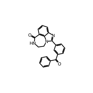 O=C(c1ccccc1)c1cccc(-c2nc3cccc4c3n2CCNC4=O)c1